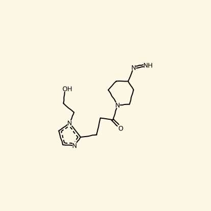 N=NC1CCN(C(=O)CCc2nccn2CCO)CC1